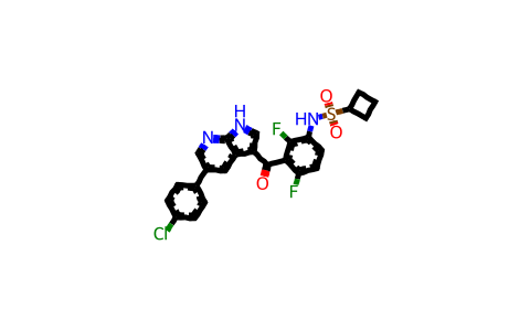 O=C(c1c(F)ccc(NS(=O)(=O)C2CCC2)c1F)c1c[nH]c2ncc(-c3ccc(Cl)cc3)cc12